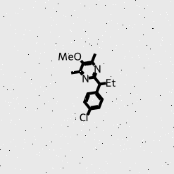 CCC(c1ccc(Cl)cc1)c1nc(C)c(OC)c(C)n1